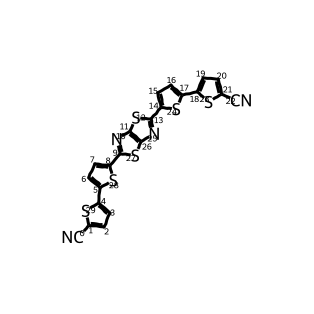 N#Cc1ccc(-c2ccc(-c3nc4sc(-c5ccc(-c6ccc(C#N)s6)s5)nc4s3)s2)s1